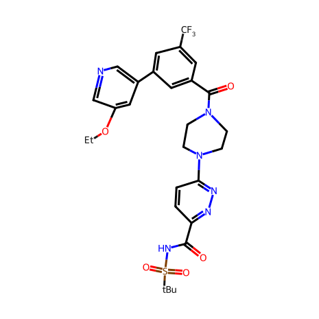 CCOc1cncc(-c2cc(C(=O)N3CCN(c4ccc(C(=O)NS(=O)(=O)C(C)(C)C)nn4)CC3)cc(C(F)(F)F)c2)c1